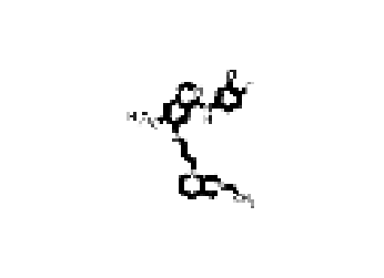 CCN1CC2CCCN(CCCOc3cc4c(Nc5ccc(F)c(Cl)c5)ncnc4cc3OC)C2C1